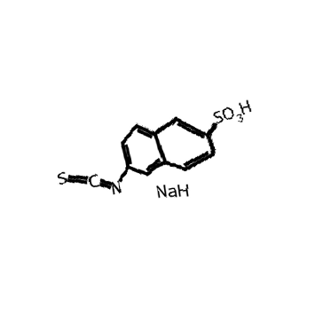 O=S(=O)(O)c1ccc2cc(N=C=S)ccc2c1.[NaH]